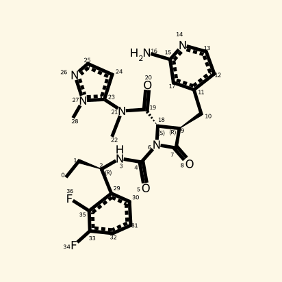 CC[C@@H](NC(=O)N1C(=O)[C@H](Cc2ccnc(N)c2)[C@H]1C(=O)N(C)c1ccnn1C)c1cccc(F)c1F